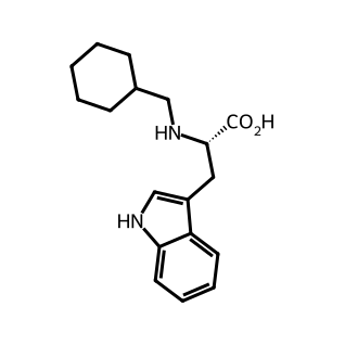 O=C(O)[C@H](Cc1c[nH]c2ccccc12)NCC1CCCCC1